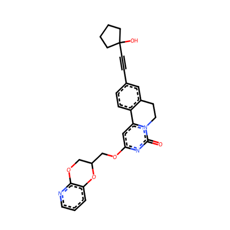 O=c1nc(OCC2COc3ncccc3O2)cc2n1CCc1cc(C#CC3(O)CCCC3)ccc1-2